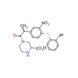 C=C(C(=O)N1CCNC(C(=O)OCC)C1)c1ccc(Sc2ccccc2C(C)C)c([N+](=O)[O-])c1